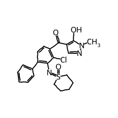 Cn1ncc(C(=O)c2ccc(-c3ccccc3)c(N=S3(=O)CCCCC3)c2Cl)c1O